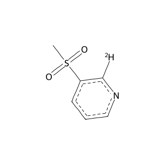 [2H]c1ncccc1S(C)(=O)=O